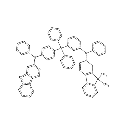 CC1(C)C2=C(C=CC(N(c3ccccc3)c3cccc([Si](c4ccccc4)(c4ccccc4)c4ccc(N(c5ccccc5)c5ccc6c(c5)oc5ccccc56)cc4)c3)C2)c2ccccc21